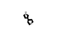 [c]1[nH]ccc1-c1ccncc1